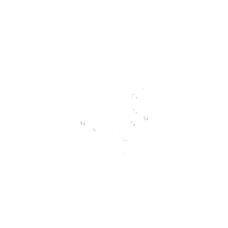 Cc1ccccc1Nc1nc(Nc2cc(C)c(C3CCN(C)CC3)cc2OC(C)C)ncc1C